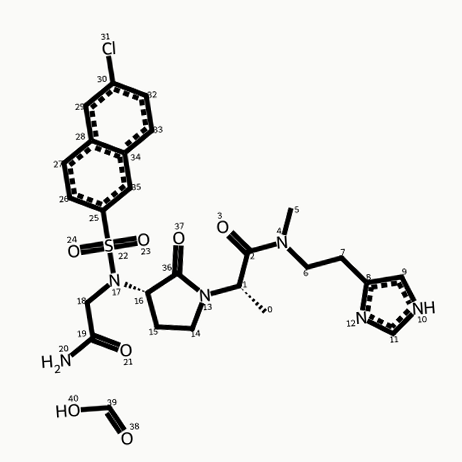 C[C@@H](C(=O)N(C)CCc1c[nH]cn1)N1CC[C@H](N(CC(N)=O)S(=O)(=O)c2ccc3cc(Cl)ccc3c2)C1=O.O=CO